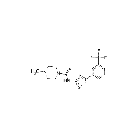 CN1CCN(C(=S)Nc2nc(-c3cccc(C(F)(F)F)c3)cs2)CC1